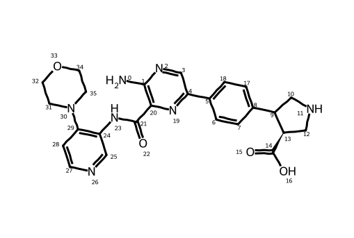 Nc1ncc(-c2ccc(C3CNC[C@H]3C(=O)O)cc2)nc1C(=O)Nc1cnccc1N1CCOCC1